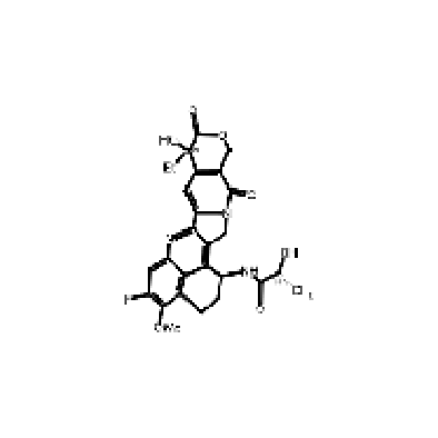 CC[C@@]1(O)C(=O)OCc2c1cc1n(c2=O)Cc2c-1nc1cc(F)c(OC)c3c1c2C(NC(=O)[C@@H](C)O)CC3